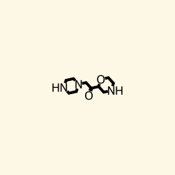 O=C(CN1CCNCC1)C1CNCCO1